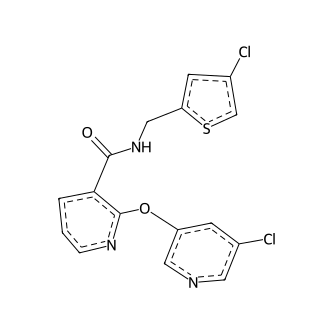 O=C(NCc1cc(Cl)cs1)c1cccnc1Oc1cncc(Cl)c1